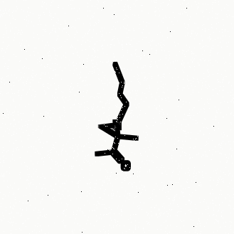 CCCCN1CC1(C)C(C)=O